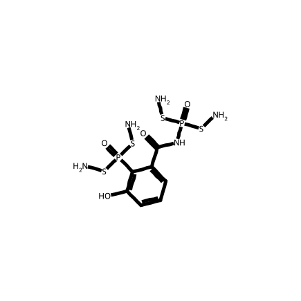 NSP(=O)(NC(=O)c1cccc(O)c1P(=O)(SN)SN)SN